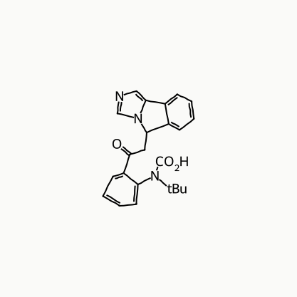 CC(C)(C)N(C(=O)O)c1ccccc1C(=O)CC1c2ccccc2-c2cncn21